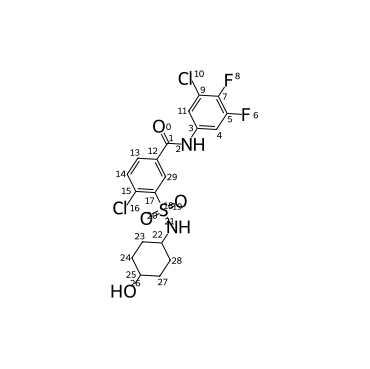 O=C(Nc1cc(F)c(F)c(Cl)c1)c1ccc(Cl)c(S(=O)(=O)NC2CCC(O)CC2)c1